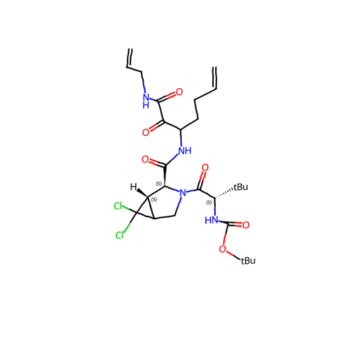 C=CCCC(NC(=O)[C@@H]1[C@@H]2C(CN1C(=O)[C@@H](NC(=O)OC(C)(C)C)C(C)(C)C)C2(Cl)Cl)C(=O)C(=O)NCC=C